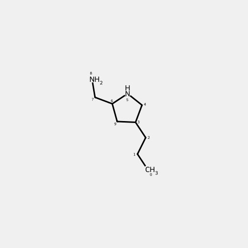 CCCC1CNC(CN)C1